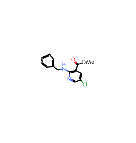 COC(=O)c1cc(Cl)cnc1NCc1ccccc1